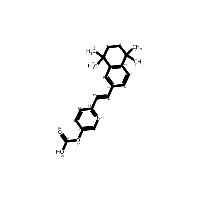 CC1(C)CCC(C)(C)c2cc(C=Cc3ccc(OC(=O)O)cn3)ccc21